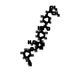 CN(C)Cc1ccc(C(=O)Nc2ccc(-c3nnc(COc4cccc(C#N)c4)n3C)cc2)cc1